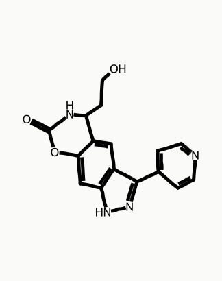 O=C1NC(CCO)c2cc3c(-c4ccncc4)n[nH]c3cc2O1